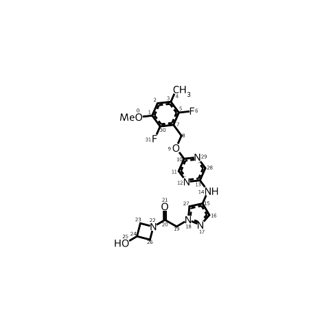 COc1cc(C)c(F)c(COc2cnc(Nc3cnn(CC(=O)N4CC(O)C4)c3)cn2)c1F